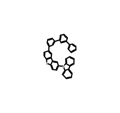 c1ccc(-c2cccc(-c3cccc(-c4ccc5sc6ccc(-n7c8ccccc8c8ccccc87)cc6c5c4)c3)c2)cc1